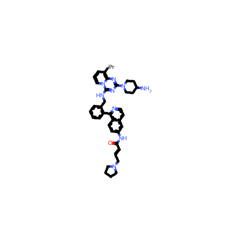 CC(C)C1=C2N=C(N3CCC(N)CC3)N=C(NCc3ccccc3-c3nccc4cc(NC(=O)/C=C/CN5CCCC5)ccc34)N2C=C=C1